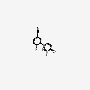 Cn1nc(-c2cc(C#N)ccc2F)ccc1=O